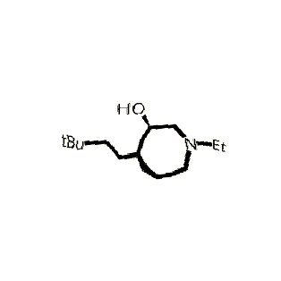 CCN1CCC(CCC(C)(C)C)[C@@H](O)C1